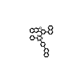 c1ccc(-c2nc(-c3ccc(-c4ccc5ccccc5c4)cc3)nc(-c3cc(-c4cccc5ccccc45)cc4oc5cc6ccccc6cc5c34)n2)cc1